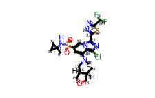 CC1(NS(=O)(=O)c2cc(N3CC[C@H]4COC[C@H]4C3)c3c(Cl)nc(-c4nnc(C(F)F)s4)n3c2)CC1